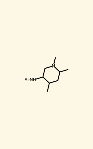 CC(=O)NC1CN(C)C(C)CC1C